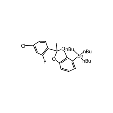 CCC[CH2][Sn]([CH2]CCC)([CH2]CCC)[c]1cccc2c1OC(C)(c1ccc(Cl)cc1F)O2